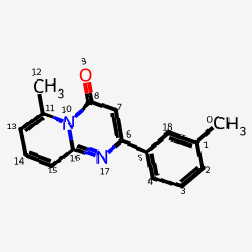 Cc1cccc(-c2cc(=O)n3c(C)cccc3n2)c1